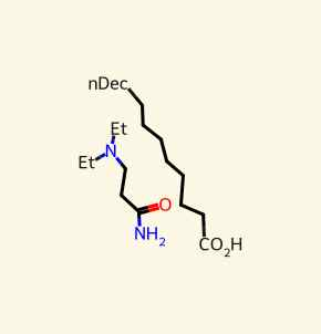 CCCCCCCCCCCCCCCCCC(=O)O.CCN(CC)CCC(N)=O